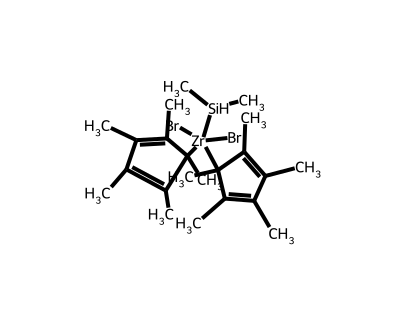 CC1=C(C)[C](C)([Zr]([Br])([Br])([SiH](C)C)[C]2(C)C(C)=C(C)C(C)=C2C)C(C)=C1C